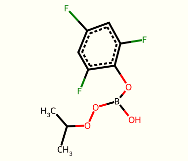 CC(C)OOB(O)Oc1c(F)cc(F)cc1F